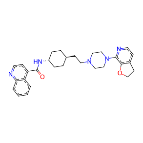 O=C(N[C@H]1CC[C@H](CCN2CCN(c3nccc4c3OCC4)CC2)CC1)c1ccnc2ccccc12